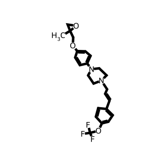 CC1(COc2ccc(N3CCN(CC=Cc4ccc(OC(F)(F)F)cc4)CC3)cc2)CO1